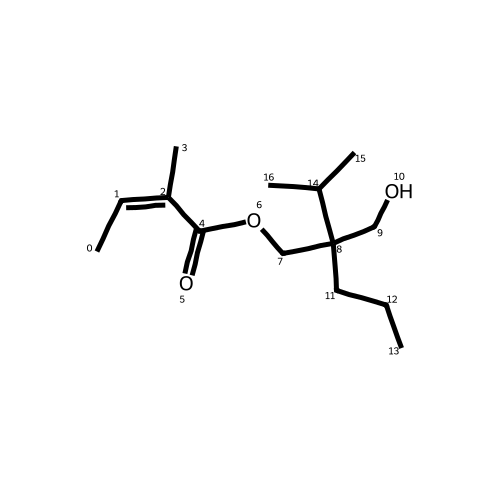 CC=C(C)C(=O)OCC(CO)(CCC)C(C)C